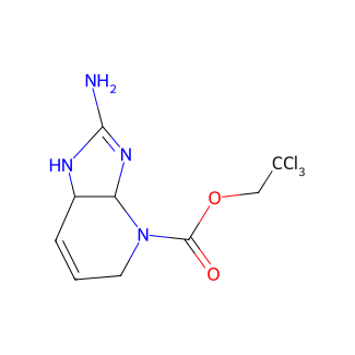 NC1=NC2C(C=CCN2C(=O)OCC(Cl)(Cl)Cl)N1